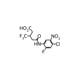 O=C(O)CC(CC(=O)Nc1cc([N+](=O)[O-])c(Cl)cc1F)C(F)(F)F